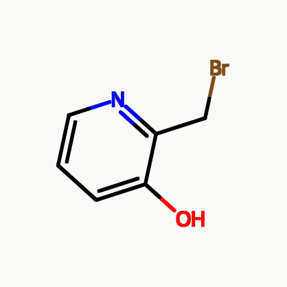 Oc1cccnc1CBr